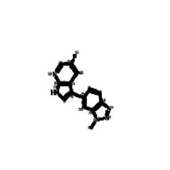 Cn1nnc2ccc(-c3c[nH]c4ncc(F)cc34)cc21